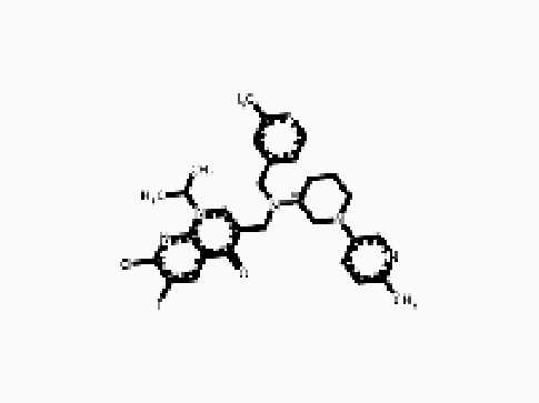 Cc1ccc(N2CCC[C@H](N(Cc3ccnc(C)c3)Cc3cn(C(C)C)c4nc(Cl)c(F)cc4c3=O)C2)cn1